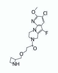 COc1nc2c(cc1Cl)c(F)c1n2CCN(C(=O)CCOCC2CCN2)C1